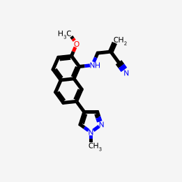 C=C(C#N)CNc1c(OC)ccc2ccc(-c3cnn(C)c3)cc12